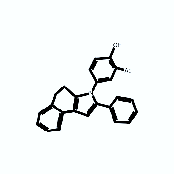 CC(=O)c1cc(-n2c(-c3ccccc3)cc3c2CCc2ccccc2-3)ccc1O